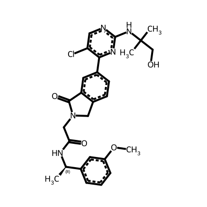 COc1cccc([C@@H](C)NC(=O)CN2Cc3ccc(-c4nc(NC(C)(C)CO)ncc4Cl)cc3C2=O)c1